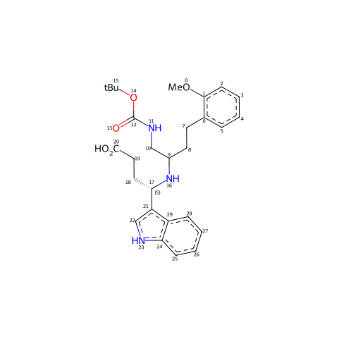 COc1ccccc1CCC(CNC(=O)OC(C)(C)C)N[C@@H](CCC(=O)O)c1c[nH]c2ccccc12